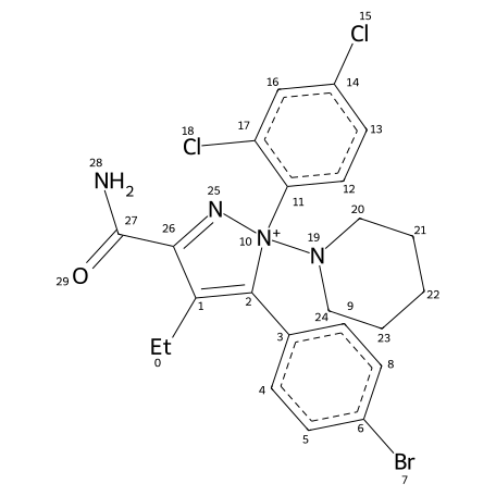 CCC1=C(c2ccc(Br)cc2)[N+](c2ccc(Cl)cc2Cl)(N2CCCCC2)N=C1C(N)=O